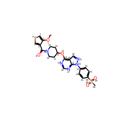 COc1cscc1C(=O)N1CCC(Oc2ncnc3c2cnn3-c2ccc(S(C)(=O)=O)cc2)CC1